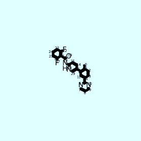 Cc1ccc(-c2ncccn2)cc1-c1ccc(NC(=O)c2c(F)cccc2F)nc1